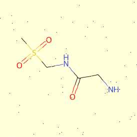 CS(=O)(=O)CNC(=O)C[NH]